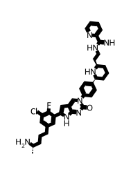 C[C@H](N)CCCc1cc(Cl)c(F)c(-c2cc3cn(-c4ccc([C@H]5CCC[C@H](CCNC(=N)c6ccccn6)N5)cc4)c(=O)nc3[nH]2)c1